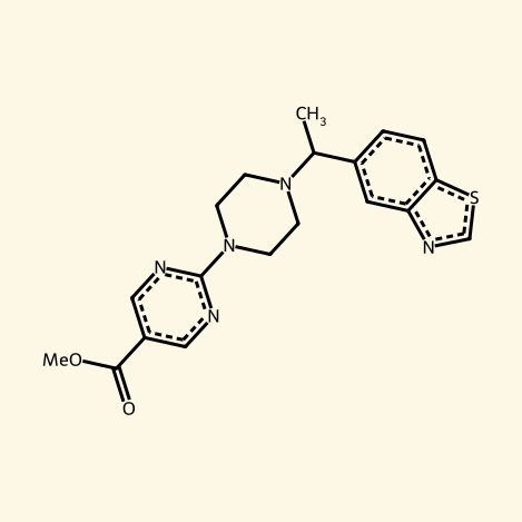 COC(=O)c1cnc(N2CCN(C(C)c3ccc4scnc4c3)CC2)nc1